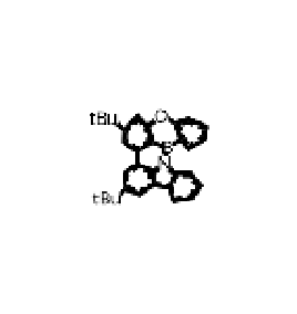 CC(C)(C)c1cc2c3c(c1)-c1cc(C(C)(C)C)cc4c5ccccc5n(c14)B3c1ccccc1O2